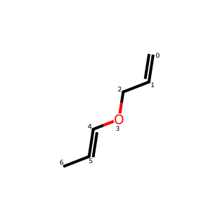 C=CCOC=CC